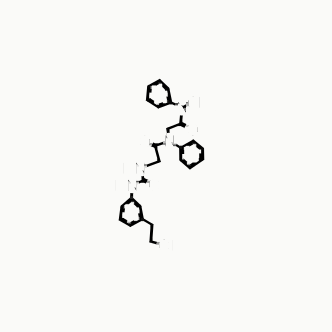 CN(C(=O)CN(C(=O)CNC(=O)Nc1cccc(CCO)c1)c1ccccc1)c1ccccc1